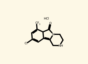 Cl.O=C1C2C(C(F)(F)F)=CC(Cl)=CC2=C2CNCCN12